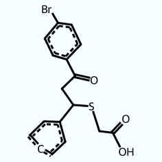 O=C(O)CSC(CC(=O)c1ccc(Br)cc1)c1ccccc1